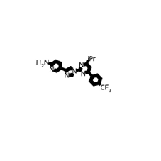 CC(C)c1cc(-c2ccc(C(F)(F)F)cc2)nc(-n2cnc(-c3ccc(N)nc3)c2)n1